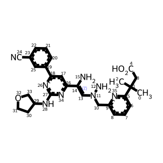 CC(C)(CC(=O)O)c1cccc(CN(N)/C=C(\N)c2cc(-c3cccc(C#N)c3)nc(NC3CCOC3)n2)n1